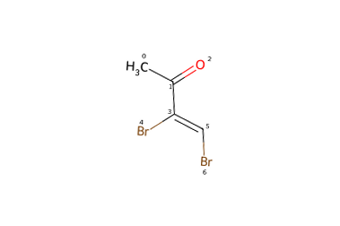 CC(=O)/C(Br)=C/Br